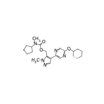 CN(C(=O)OCc1c(-c2cnc(OC3CCCCC3)cn2)cnn1C)C1CCCC1